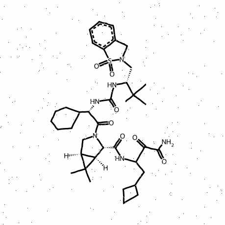 CC(C)(C)[C@@H](CN1Cc2ccccc2S1(=O)=O)NC(=O)N[C@H](C(=O)N1C[C@H]2[C@@H]([C@H]1C(=O)NC(CC1CCC1)C(=O)C(N)=O)C2(C)C)C1CCCCC1